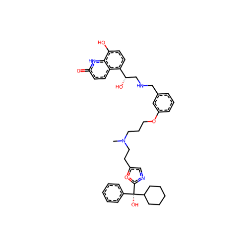 CN(CCCOc1cccc(CNC[C@H](O)c2ccc(O)c3[nH]c(=O)ccc23)c1)CCc1cnc([C@](O)(c2ccccc2)C2CCCCC2)o1